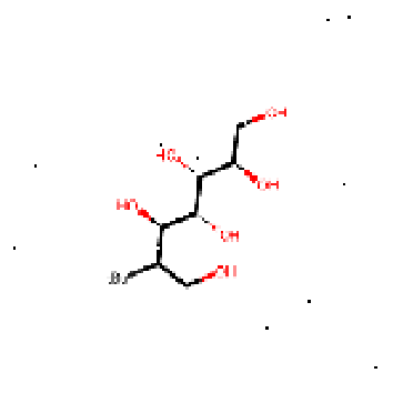 CC(C)(C)C(CO)[C@@H](O)[C@@H](O)[C@H](O)[C@H](O)CO